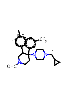 Cc1ccc(C2CN(C=O)CCC2(c2cc(C(F)(F)F)cc(C(F)(F)F)c2)N2CCN(CC3CC3)CC2)cc1